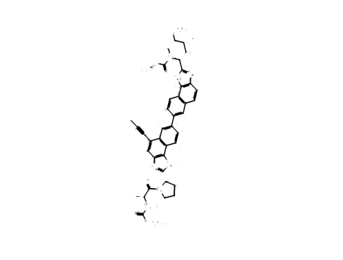 CC#Cc1cc2nc([C@@H]3CCCN3C(=O)[C@@H](NC(=O)OC)C(C)C)[nH]c2c2ccc(-c3ccc4c(ccc5nc([C@H](C[C@@H](C)COC)N(C)C(=O)OC(C)(C)C)[nH]c54)c3)cc12